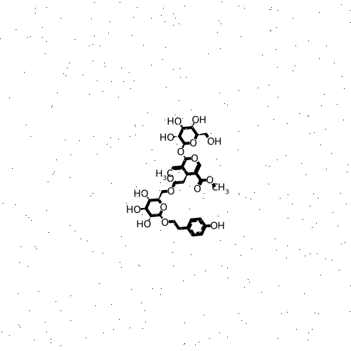 C/C=C1/[C@H](O[C@@H]2O[C@H](CO)[C@@H](O)[C@H](O)[C@H]2O)OC=C(C(=O)OC)[C@H]1CC(=O)OC[C@H]1O[C@@H](OCCc2ccc(O)cc2)[C@H](O)[C@@H](O)[C@@H]1O